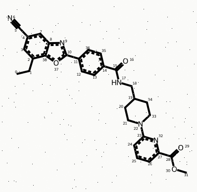 CCc1cc(C#N)cc2nc(-c3ccc(C(=O)NCC4CCN(c5cccc(C(=O)OC)n5)CC4)cc3)oc12